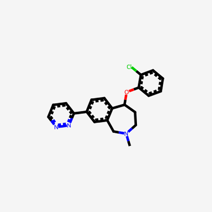 CN1CCC(Oc2ccccc2Cl)c2ccc(-c3cccnn3)cc2C1